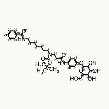 CC(C)(C)OC(=O)N(CCCCCCCNC(=O)c1ccccc1)CCC(=O)Nc1ccc(OC2OC(CO)C(O)C(O)C2O)cc1